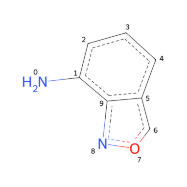 Nc1cccc2conc12